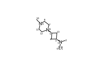 CCN(C)[C@H]1C[C@@H](N2CCN(C)CC2)C1